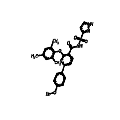 CCOc1ccc(-c2ccc(C(=O)NS(=O)(=O)c3cc[nH]n3)c(Oc3c(C)cc(C)cc3C)n2)cc1